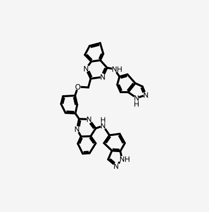 c1cc(OCc2nc(Nc3ccc4[nH]ncc4c3)c3ccccc3n2)cc(-c2nc(Nc3ccc4[nH]ncc4c3)c3ccccc3n2)c1